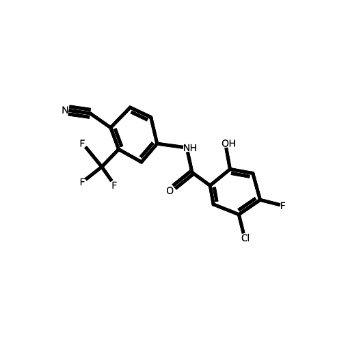 N#Cc1ccc(NC(=O)c2cc(Cl)c(F)cc2O)cc1C(F)(F)F